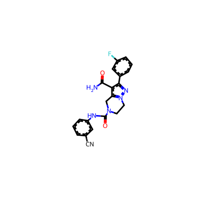 N#Cc1cccc(NC(=O)N2CCn3nc(-c4cccc(F)c4)c(C(N)=O)c3C2)c1